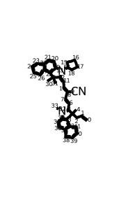 C=CCC1(C)C(/C=C/C(C#N)=C/C=C2/N(C3CCCC3)c3ccc4ccccc4c3C2(C)C)=[N+](C)c2ccc3ccccc3c21